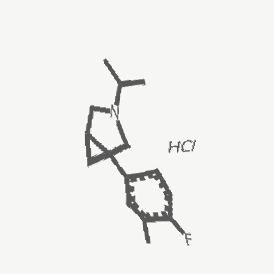 Cc1cc(C23CC2CN(C(C)C)C3)ccc1F.Cl